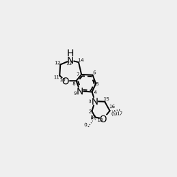 C[C@@H]1CN(c2ccc3c(n2)OCCNC3)C[C@H](C)O1